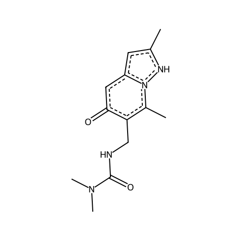 Cc1cc2cc(=O)c(CNC(=O)N(C)C)c(C)n2[nH]1